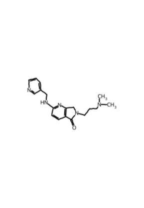 CN(C)CCCN1Cc2nc(NCc3cccnc3)ccc2C1=O